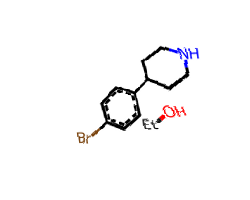 Brc1ccc(C2CCNCC2)cc1.CCO